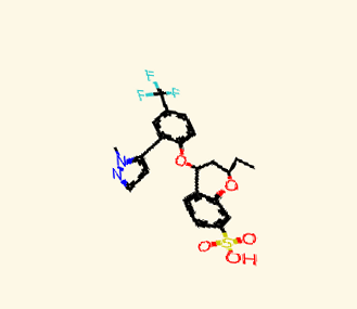 CCC1CC(Oc2ccc(C(F)(F)F)cc2-c2ccnn2C)c2ccc(S(=O)(=O)O)cc2O1